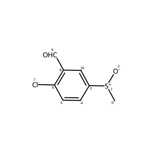 C[S+]([O-])c1ccc(Cl)c(C=O)c1